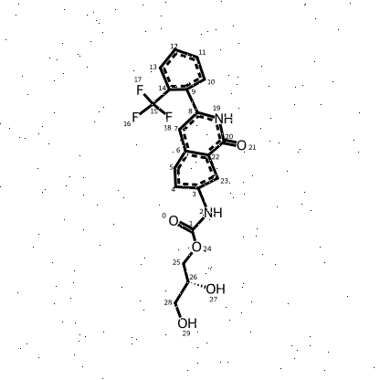 O=C(Nc1ccc2cc(-c3ccccc3C(F)(F)F)[nH]c(=O)c2c1)OC[C@H](O)CO